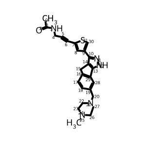 CC(=O)NCC#Cc1cc(-c2n[nH]c3c2Cc2ccc(CN4CCN(C)CC4)cc2-3)cs1